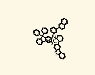 CC1(N(c2cccc(-c3ccc4ccccc4c3)c2)c2ccc3c(c2)C(c2ccccc2)(c2ccccc2)c2ccccc2-3)C=CC=CC1c1ccc2sc3ccccc3c2c1